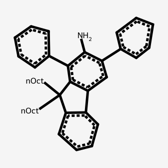 CCCCCCCCC1(CCCCCCCC)c2ccccc2-c2cc(-c3ccccc3)c(N)c(-c3ccccc3)c21